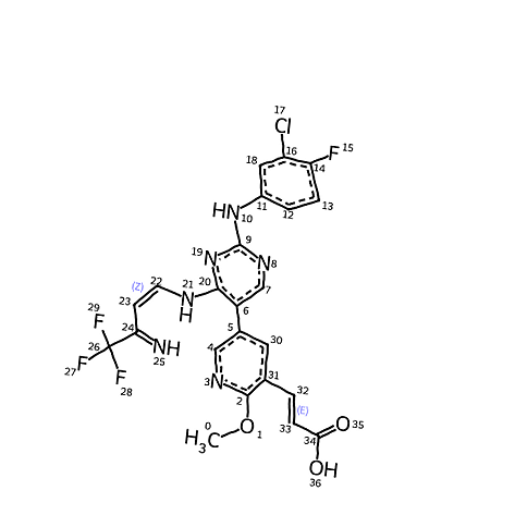 COc1ncc(-c2cnc(Nc3ccc(F)c(Cl)c3)nc2N/C=C\C(=N)C(F)(F)F)cc1/C=C/C(=O)O